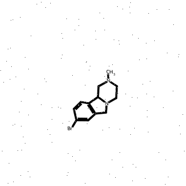 CN1CCN2Cc3cc(Br)ccc3C2C1